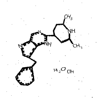 CC1CC(c2ncc3ncc(Cc4ccccc4)c-3[nH]2)CC(C)N1.Cl.O